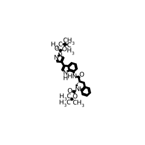 CC(C)(C)OC(=O)NC[C@@H](Cc1ccccc1)C(=O)Nc1cccc2c(-c3cnn(C(=O)OC(C)(C)C)c3)c[nH]c12